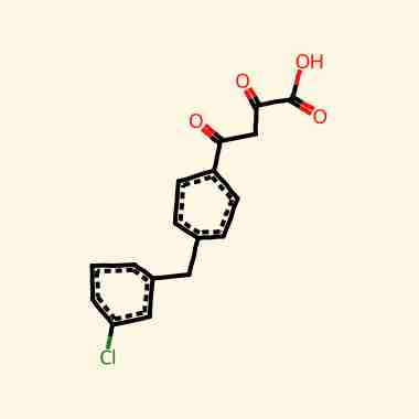 O=C(O)C(=O)CC(=O)c1ccc(Cc2cccc(Cl)c2)cc1